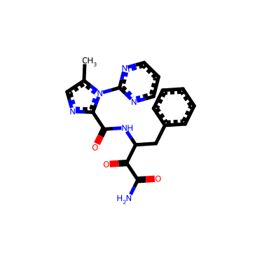 Cc1cnc(C(=O)NC(Cc2ccccc2)C(=O)C(N)=O)n1-c1ncccn1